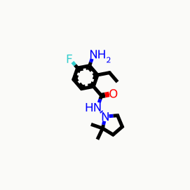 CCc1c(C(=O)NN2CCCC2(C)C)ccc(F)c1N